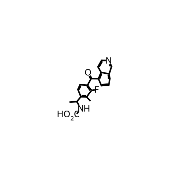 Cc1c(C(C)NC(=O)O)ccc(C(=O)c2cccc3cnccc23)c1F